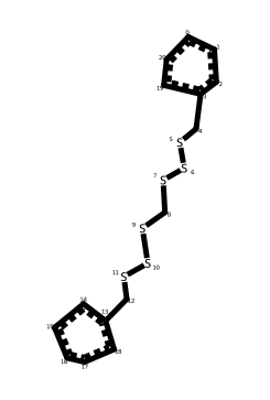 c1ccc(CSSSCSSSCc2ccccc2)cc1